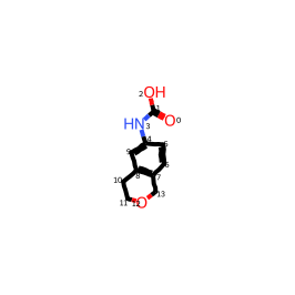 O=C(O)Nc1ccc2c(c1)CCOC2